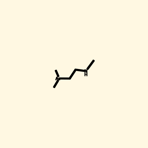 CNCC[As](C)C